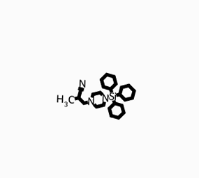 CC(C#N)CN1CCN([Si](C2CCCCC2)(C2CCCCC2)C2CCCCC2)CC1